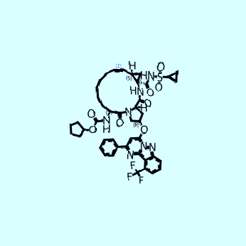 O=C(N[C@H]1CCCCC/C=C\[C@@H]2C[C@@]2(C(=O)NS(=O)(=O)C2CC2)NC(=O)[C@@H]2C[C@@H](Oc3cc(-c4ccccc4)nc4c5c(C(F)(F)F)cccc5nn34)CN2C1=O)OC1CCCC1